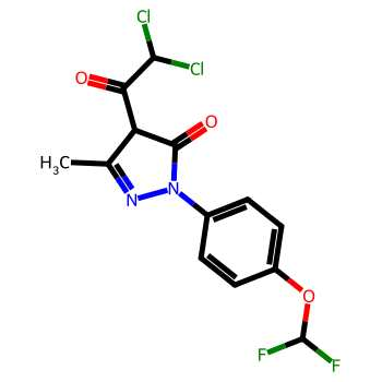 CC1=NN(c2ccc(OC(F)F)cc2)C(=O)C1C(=O)C(Cl)Cl